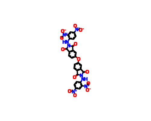 O=C1c2ccc(Oc3ccc4c(c3)C(=O)N(Nc3ccc([N+](=O)[O-])cc3[N+](=O)[O-])C4=O)cc2C(=O)N1Nc1ccc([N+](=O)[O-])cc1[N+](=O)[O-]